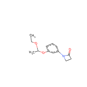 CCOC(C)Oc1cccc(N2CCC2=O)c1